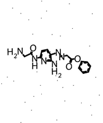 NCC(=O)Nc1ccc(N=NCC(=O)Oc2ccccc2)c(N)n1